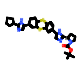 CC(C)(C)OC(=O)N1CCC[C@H]1c1ncc(-c2ccc3c(c2)Sc2cc(-c4cnc(C5CCCC5)[nH]4)ccc2S3)[nH]1